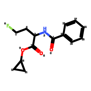 O=C(NC(CCF)C(=O)OC1CC1)c1ccccc1